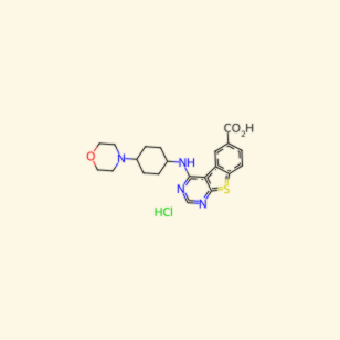 Cl.O=C(O)c1ccc2sc3ncnc(NC4CCC(N5CCOCC5)CC4)c3c2c1